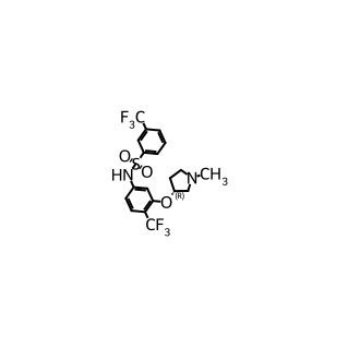 CN1CC[C@@H](Oc2cc(NS(=O)(=O)c3cccc(C(F)(F)F)c3)ccc2C(F)(F)F)C1